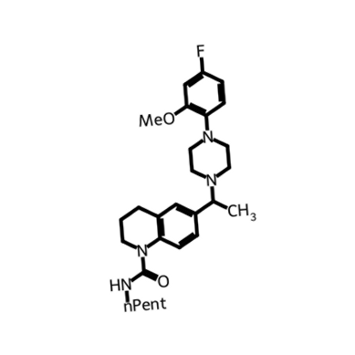 CCCCCNC(=O)N1CCCc2cc(C(C)N3CCN(c4ccc(F)cc4OC)CC3)ccc21